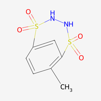 Cc1ccc2cc1S(=O)(=O)NNS2(=O)=O